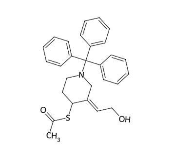 CC(=O)SC1CCN(C(c2ccccc2)(c2ccccc2)c2ccccc2)C/C1=C\CO